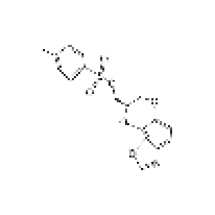 Cc1ccc(S(=O)(=O)OC[C@H]2COc3ccc4ncoc4c3O2)cc1